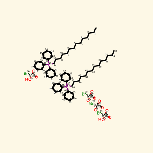 CCCCCCCCCCCCCC[P+](c1ccccc1)(c1ccccc1)c1ccccc1.CCCCCCCCCCCCCC[P+](c1ccccc1)(c1ccccc1)c1ccccc1.[O]=[Mn](=[O])([O-])[Br].[O]=[Mn](=[O])([O-])[Br].[O]=[Mn](=[O])([OH])[Br].[O]=[Mn](=[O])([OH])[Br]